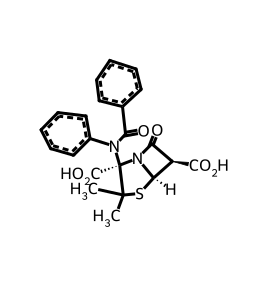 CC1(C)S[C@@H]2[C@H](C(=O)O)C(=O)N2[C@]1(C(=O)O)N(C(=O)c1ccccc1)c1ccccc1